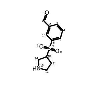 O=Cc1cccc(S(=O)(=O)C2CCNC2)c1